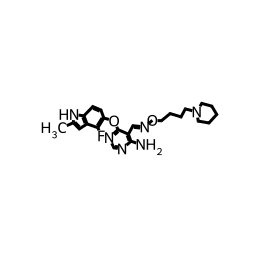 Cc1cc2c(F)c(Oc3ncnc(N)c3C=NOCCCCN3CCCCC3)ccc2[nH]1